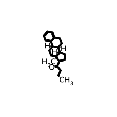 CCCC(=O)C1=CC[C@H]2[C@@H]3CCc4ccccc4[C@H]3CC[C@]12C